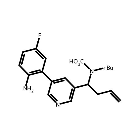 C=CCC(c1cncc(-c2cc(F)ccc2N)c1)N(CCCC)C(=O)O